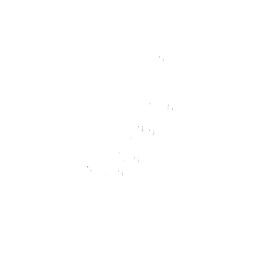 Cc1noc(C)c1-c1ccc(C[n+]2cc([N-]C(=O)Nc3cncc(C(F)(F)F)c3)on2)nc1